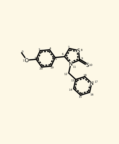 COc1ccc(-c2csc(=S)n2Cc2cccnc2)cc1